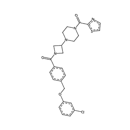 O=C(c1ccc(COc2cccc(Cl)c2)cc1)N1CC(N2CCN(C(=O)c3nccs3)CC2)C1